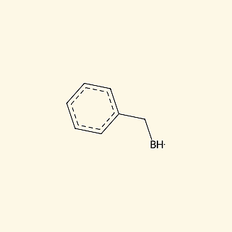 [BH]Cc1ccccc1